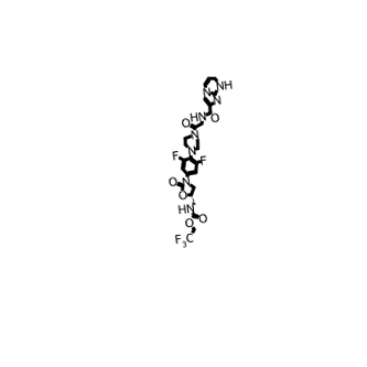 O=C(NC[C@H]1CN(c2cc(F)c(N3CCN(C(=O)CNC(=O)c4cn5c(n4)NCC=C5)CC3)c(F)c2)C(=O)O1)OCC(F)(F)F